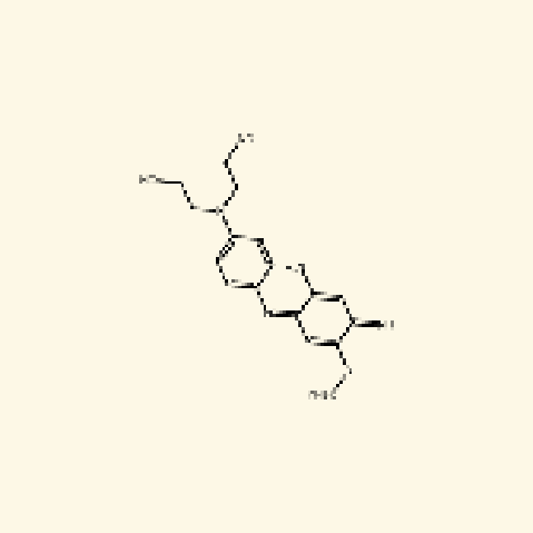 CCCCCCOC1=C/C(=N/c2ccc(N(CCO)CCN=O)cc2)C(N)=CC1=N